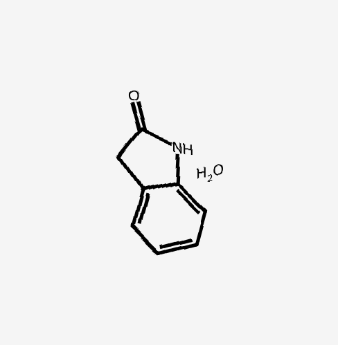 O.O=C1Cc2ccccc2N1